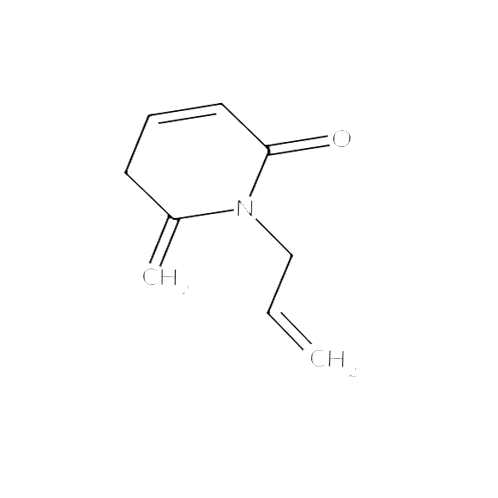 C=CCN1C(=C)CC=CC1=O